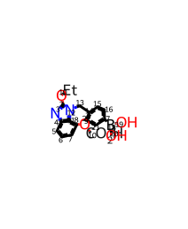 CCOc1nc2cccc(OC(=O)O)c2n1Cc1ccc(B(O)O)cc1